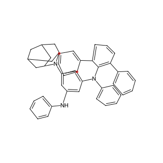 c1ccc(Nc2cc(N(c3ccccc3)c3c(-c4ccccc4)cccc3-c3ccccc3)cc(N3C4CC5CC(C4)CC3C5)c2)cc1